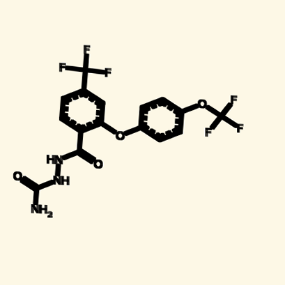 NC(=O)NNC(=O)c1ccc(C(F)(F)F)cc1Oc1ccc(OC(F)(F)F)cc1